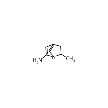 CC1Cc2cc(N)n1c2